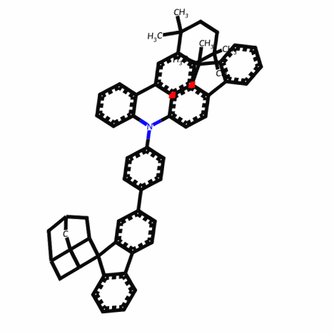 CC1(C)CCC(C)(C)c2cc(-c3ccccc3N(c3ccc(-c4ccc5c(c4)C4(c6ccccc6-5)C5CC6CC7CC4C75C6)cc3)c3ccc4c(c3)C(C)(C)c3ccccc3-4)ccc21